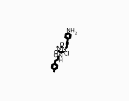 Cc1ccc(CCC(=O)Nc2c(Cl)n(CC#Cc3ccc(N)cc3)c(=O)n(C)c2=O)cc1